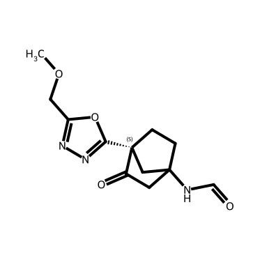 COCc1nnc([C@@]23CCC(NC=O)(CC2=O)C3)o1